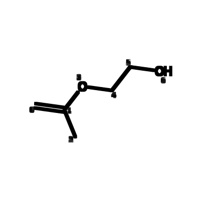 C=C(C)OCCO